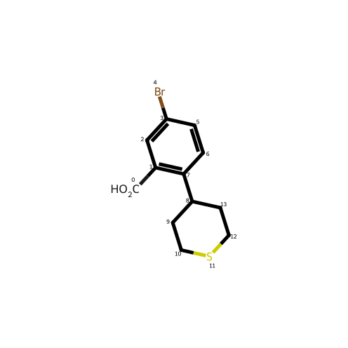 O=C(O)c1cc(Br)ccc1C1CCSCC1